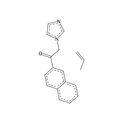 C=CC.O=C(Cn1ccnc1)c1ccc2ccccc2c1